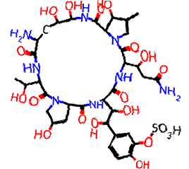 CC(O)C1NC(=O)C(N)CC(O)C(O)NC(=O)C2C(O)C(C)CN2C(=O)C(C(O)CC(N)=O)NC(=O)C(C(O)C(O)c2ccc(O)c(OS(=O)(=O)O)c2)NC(=O)C2CC(O)CN2C1=O